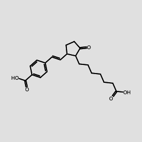 O=C(O)CCCCCCC1C(=O)CCC1/C=C/c1ccc(C(=O)O)cc1